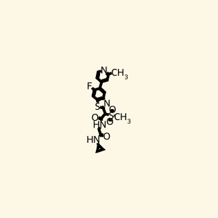 Cc1cc(-c2cc3nc(C(C(=O)NCC(=O)NC4CC4)S(C)(=O)=O)sc3cc2F)ccn1